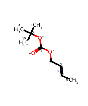 C/C=C/COC(=O)OC(C)(C)C